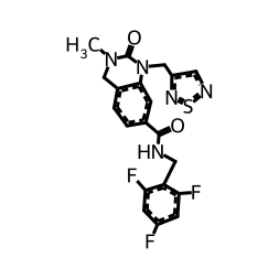 CN1Cc2ccc(C(=O)NCc3c(F)cc(F)cc3F)cc2N(Cc2cnsn2)C1=O